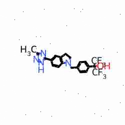 Cc1n[nH]c(-c2ccc3c(c2)CCN3Cc2ccc(C(O)(C(F)(F)F)C(F)(F)F)cc2)n1